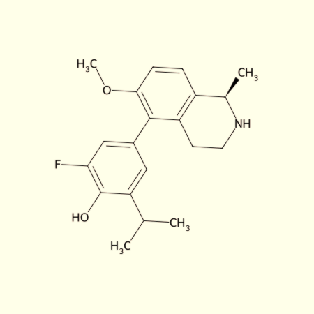 COc1ccc2c(c1-c1cc(F)c(O)c(C(C)C)c1)CCN[C@@H]2C